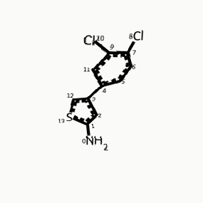 Nc1cc(-c2ccc(Cl)c(Cl)c2)cs1